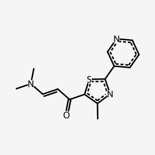 Cc1nc(-c2cccnc2)sc1C(=O)/C=C/N(C)C